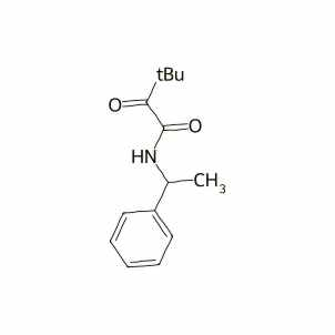 CC(NC(=O)C(=O)C(C)(C)C)c1ccccc1